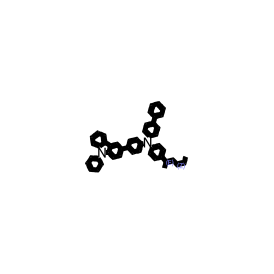 C/C=C\C=C(/C)c1ccc(N(c2ccc(-c3ccccc3)cc2)c2ccc(-c3ccc4c(c3)c3ccccc3n4C3=CC=CCC3)cc2)cc1